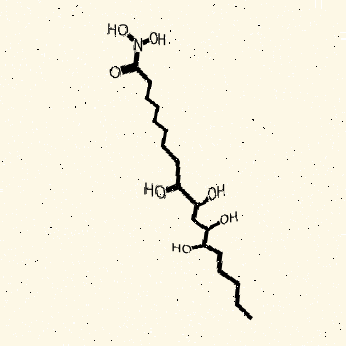 CCCCCC(O)C(O)CC(O)C(O)CCCCCCCC(=O)N(O)O